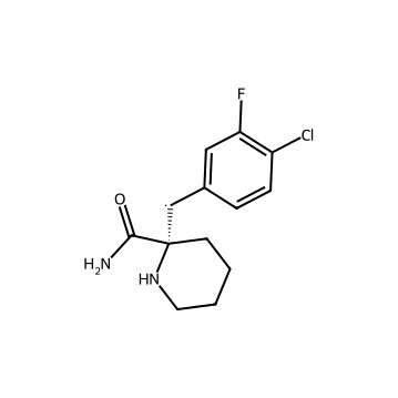 NC(=O)[C@@]1([CH]c2ccc(Cl)c(F)c2)CCCCN1